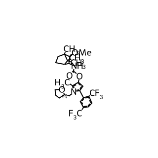 COC1C(NC(=O)Oc2cc(-c3cc(C(F)(F)F)ccc3C(F)(F)F)n(C[C@H]3CCCO3)c2C)C2CCC1(C)C2(C)C